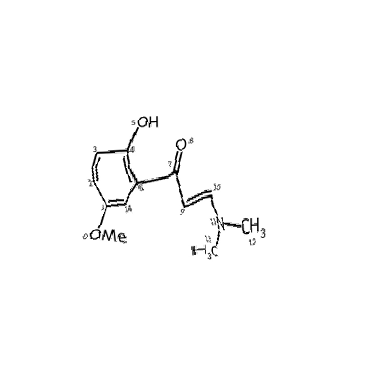 COc1ccc(O)c(C(=O)C=CN(C)C)c1